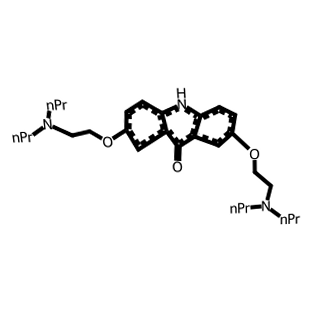 CCCN(CCC)CCOc1ccc2[nH]c3ccc(OCCN(CCC)CCC)cc3c(=O)c2c1